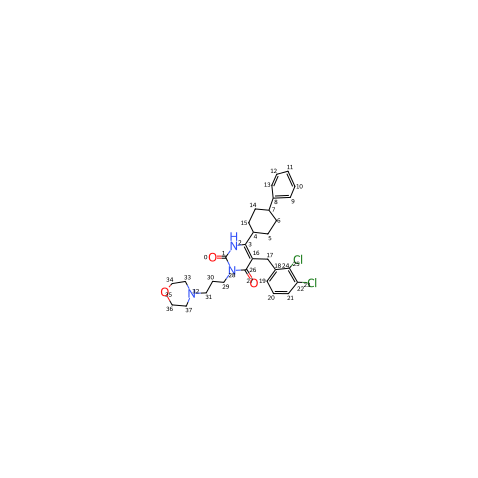 O=c1[nH]c(C2CCC(c3ccccc3)CC2)c(Cc2cccc(Cl)c2Cl)c(=O)n1CCCN1CCOCC1